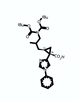 CC(C[C@H]1C[C@]1(C(=O)O)c1cn(-c2ccccc2)cn1)CN(C(=O)OC(C)(C)C)C(=O)OC(C)(C)C